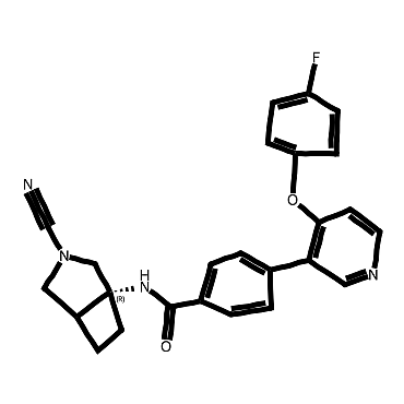 N#CN1CC2CC[C@]2(NC(=O)c2ccc(-c3cnccc3Oc3ccc(F)cc3)cc2)C1